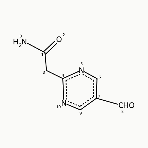 NC(=O)Cc1ncc(C=O)cn1